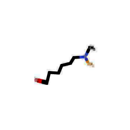 CN(P)CCCCCC=O